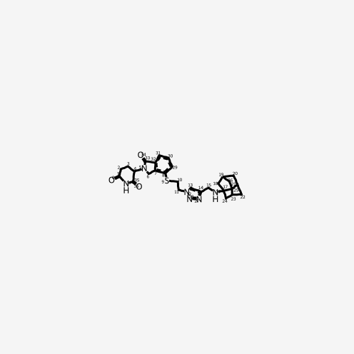 O=C1CCC(N2Cc3c(SCCn4cc(CNC56CC7CC8CC(C5)C86C7)nn4)cccc3C2=O)C(=O)N1